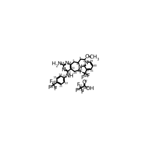 COCCC1Cc2nc(N)nc(Nc3ccc(C(F)(F)F)cc3)c2CCN1c1ncccc1C(F)(F)F.O=C(O)C(F)(F)F